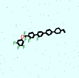 C=CC1CCC(c2ccc(-c3ccc(-c4ccc(C(F)(F)Oc5cc(F)c(F)c(F)c5)c(F)c4)c(F)c3)cc2)CC1